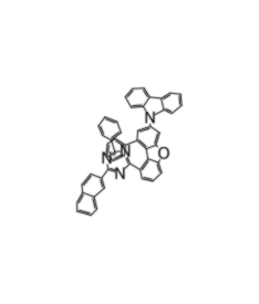 c1ccc(-c2nc(-c3ccc4ccccc4c3)nc(-c3cccc4oc5cc(-n6c7ccccc7c7ccccc76)cc(-c6ccccc6)c5c34)n2)cc1